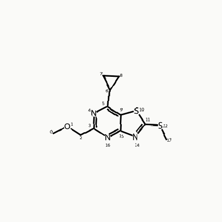 COCc1nc(C2CC2)c2sc(SC)nc2n1